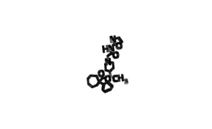 C[C@H](OC(=O)C1(c2ccccc2)CCCCCC1)C1CCN(CC(=O)Nc2ncco2)CC1